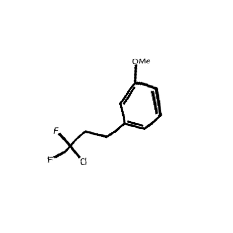 COc1cccc(CCC(F)(F)Cl)c1